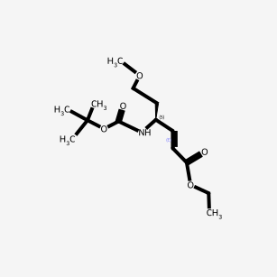 CCOC(=O)/C=C/[C@H](CCOC)NC(=O)OC(C)(C)C